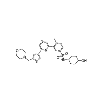 Cc1ccc(S(=O)(=O)NC2CCC(O)CC2)cc1-c1cncc(-c2csc(CN3CCOCC3)c2)n1